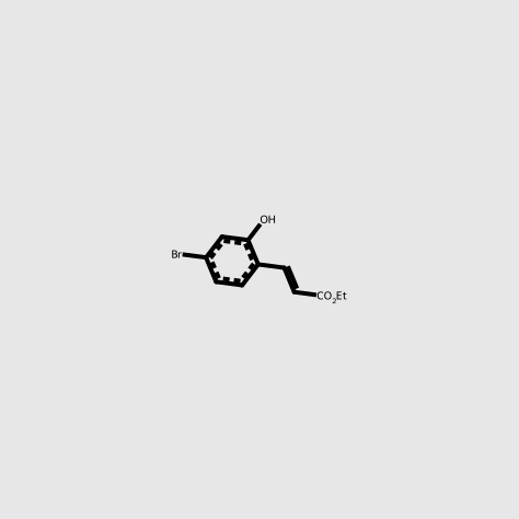 CCOC(=O)/C=C/c1ccc(Br)cc1O